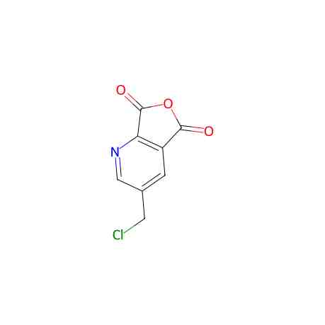 O=C1OC(=O)c2ncc(CCl)cc21